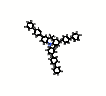 CC1(C)c2cc(-c3ccc(-c4ccccc4)cc3)ccc2-n2c3ccc(-c4ccc(-c5ccccc5)cc4)cc3c3cc(-c4ccc(-c5ccccc5)cc4)cc1c32